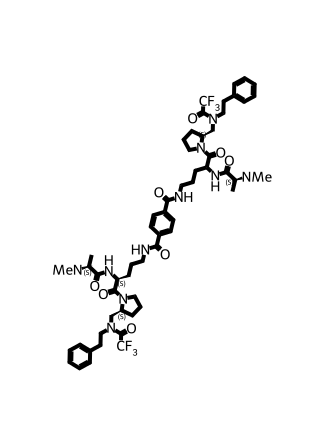 CN[C@@H](C)C(=O)NC(CCCNC(=O)c1ccc(C(=O)NCCC[C@H](NC(=O)[C@H](C)NC)C(=O)N2CCC[C@H]2CN(CCc2ccccc2)C(=O)C(F)(F)F)cc1)C(=O)N1CCC[C@H]1CN(CCc1ccccc1)C(=O)C(F)(F)F